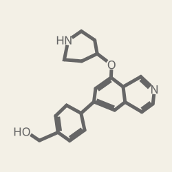 OCC1=CCC(C2=CC3C=CN=CC3C(OC3CCNCC3)=C2)C=C1